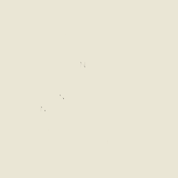 Cc1cc(-c2ccccc2O)n(-c2ccccn2)n1